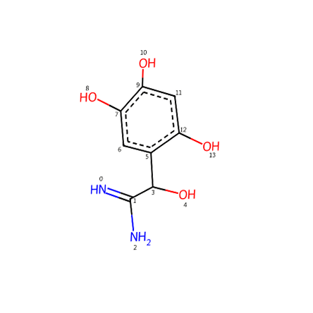 N=C(N)C(O)c1cc(O)c(O)cc1O